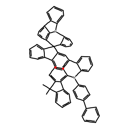 CC1(C)c2ccccc2-c2c(N(c3ccc(-c4ccccc4)cc3)c3ccccc3-c3ccc4c(c3)C3(c5ccccc5-4)c4ccccc4-n4c5ccccc5c5cccc3c54)cccc21